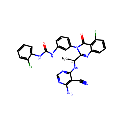 C[C@H](Nc1ncnc(N)c1C#N)c1nc2cccc(F)c2c(=O)n1-c1cccc(NC(=O)Nc2ccccc2Cl)c1